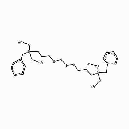 CCCO[Si](CCCSSSSCCC[Si](Cc1ccccc1)(OCCC)OCCC)(Cc1ccccc1)OCCC